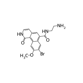 COc1cc2c(cc1Br)c(C(=O)NCCN)cc1cc[nH]c(=O)c12